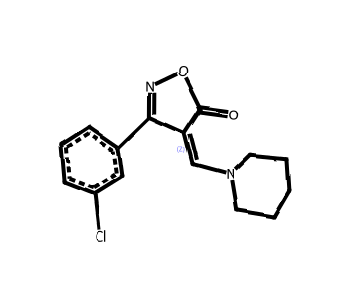 O=C1ON=C(c2cccc(Cl)c2)/C1=C/N1CCCCC1